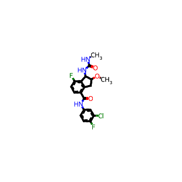 CNC(=O)NC1c2c(F)ccc(C(=O)Nc3ccc(F)c(Cl)c3)c2CC1OC